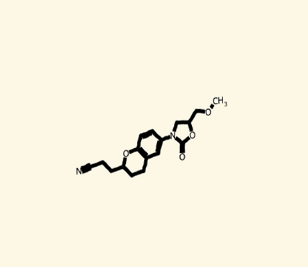 COCC1CN(c2ccc3c(c2)CCC(CCC#N)O3)C(=O)O1